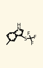 Cc1ccc2[nH]cc(SC(F)(F)F)c2c1